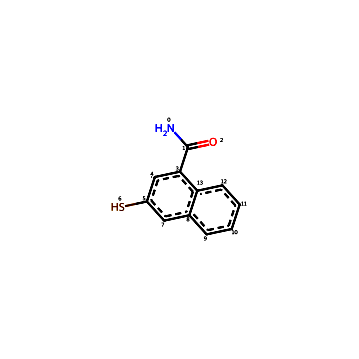 NC(=O)c1[c]c(S)cc2ccccc12